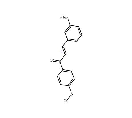 CCCCCCc1cccc(/C=C/C(=O)c2ccc(SCC)cc2)c1